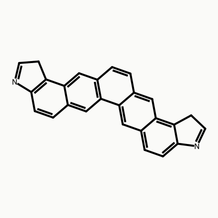 C1=Nc2ccc3cc4c(ccc5cc6c7c(ccc6cc54)N=CC7)cc3c2C1